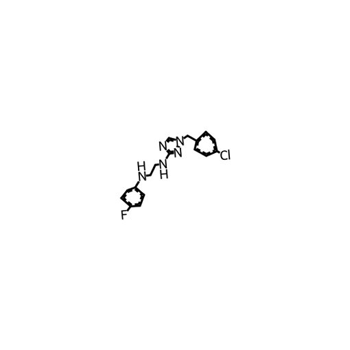 Fc1ccc(NCCNc2ncn(Cc3ccc(Cl)cc3)n2)cc1